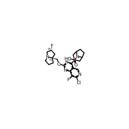 O=C(O)N1C2CCC1CN(c1nc(OC[C@@]34CCCN3C[C@H](F)C4)nc3c(F)c(Cl)ncc13)C2